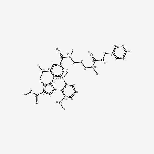 COC(=O)c1cc(-c2c(OC)cccc2OC)n(-c2ccc(C(=O)N(C)CCCN(C)C(=O)OCc3ccccc3)cc2C(C)C)n1